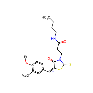 CCOc1ccc(/C=C2/SC(=S)N(CCC(=O)NCCCC(=O)O)C2=O)cc1OC